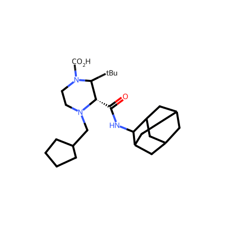 CC(C)(C)C1[C@H](C(=O)NC2C3CC4CC(C3)CC2C4)N(CC2CCCC2)CCN1C(=O)O